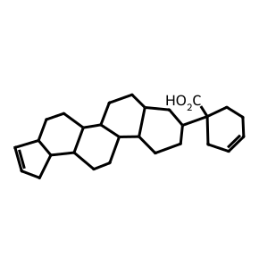 O=C(O)C1(C2CCC3C(CCC4C3CCC3C5CC=CC5CCC34)C2)CC=CCC1